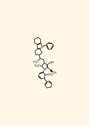 C#CC1=C(CCC)C(CC(C)C2CCc3c4c(n(-c5ccccc5)c3C2)CCCC4)C(C)N1C1=CC=CC(C2=CCCC=C2)C1C